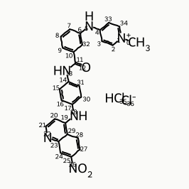 C[n+]1ccc(Nc2cccc(C(=O)Nc3ccc(Nc4ccnc5cc([N+](=O)[O-])ccc45)cc3)c2)cc1.Cl.[Cl-]